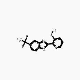 CCSc1cccnc1-c1nc2cc(C(F)(F)C(F)(F)F)ccc2o1